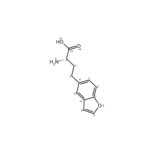 N[C@@H](CCc1ccc2occc2c1)C(=O)O